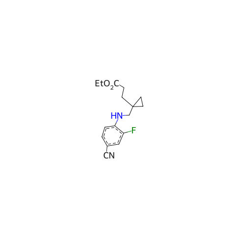 CCOC(=O)CCC1(CNc2ccc(C#N)cc2F)CC1